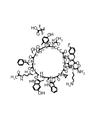 CC(=O)NCCCC[C@H]1C(=O)N[C@@H](Cc2c[nH]c3ccc(O)cc23)C(=O)N[C@@H](Cc2c[nH]c3ccccc23)C(=O)N[C@@H](C2CC2)C(=O)N(C)[C@H](C(=O)N(C)[C@@H](Cc2ccc(F)cc2)C(=O)N[C@@H](CCCCN)C(N)=O)CNC(=O)CCC[C@H](NC(C)=O)C(=O)N[C@@H](Cc2ccc(O)cc2)C(=O)N[C@@H](CO)C(=O)N(C)[C@@H](CCc2ccccc2)C(=O)N1C.O=C(O)C(F)(F)F